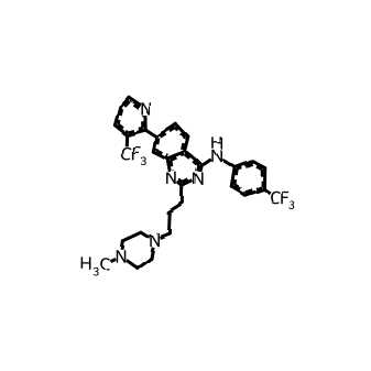 CN1CCN(CCCc2nc(Nc3ccc(C(F)(F)F)cc3)c3ccc(-c4ncccc4C(F)(F)F)cc3n2)CC1